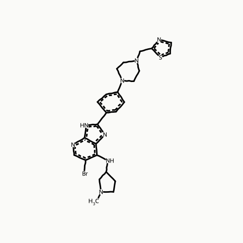 CN1CCC(Nc2c(Br)cnc3[nH]c(-c4ccc(N5CCN(Cc6nccs6)CC5)cc4)nc23)C1